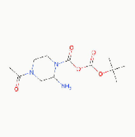 CC(=O)N1CCN(C(=O)OC(=O)OC(C)(C)C)C(N)C1